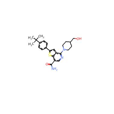 CC(C)(C)c1ccc(-c2cc3c(N4CCC(CO)CC4)ncc(C(N)=O)c3s2)cc1